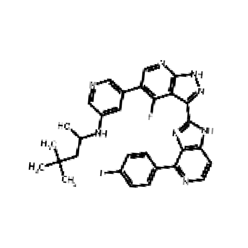 CC(C)(C)CC(O)Nc1cncc(-c2cnc3[nH]nc(-c4nc5c(-c6ccc(F)cc6)nccc5[nH]4)c3c2F)c1